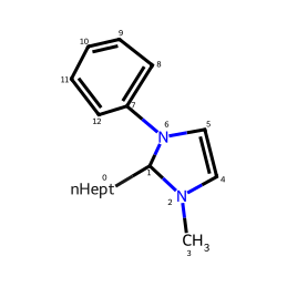 CCCCCCCC1N(C)C=CN1c1ccccc1